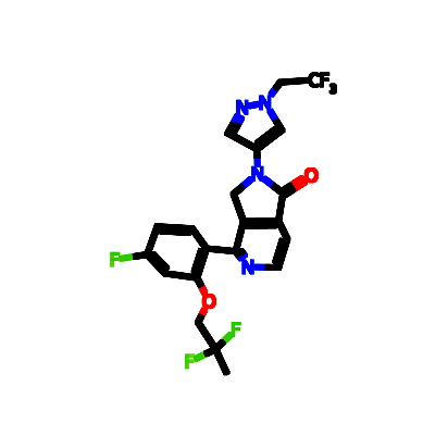 CC(F)(F)COc1cc(F)ccc1-c1nccc2c1CN(c1cnn(CC(F)(F)F)c1)C2=O